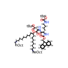 CCCCCCCC/C=C\CCCCCCCCC(CCCCCCC/C=C\CCCCCCCC)OC(=O)[C@H](CC(=O)OC(C)(C)C)NC(=O)[C@H](CCCCNC(=O)OC(C)(C)C)NC(=O)OCC1c2ccccc2-c2ccccc21